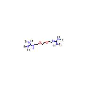 CCN(CC)C(=NCCOCCOCCNC(N(CC)CC)=[N+](CC)CC)N(CC)CC